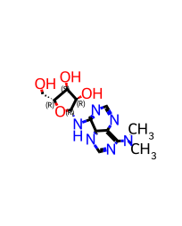 CN(C)c1ncnc2c(N[C@@H]3O[C@H](CO)[C@@H](O)[C@H]3O)ncnc12